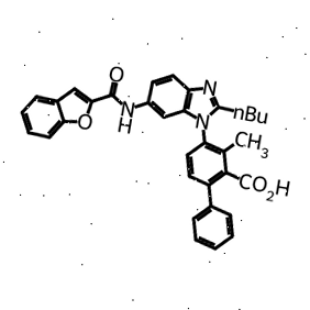 CCCCc1nc2ccc(NC(=O)c3cc4ccccc4o3)cc2n1-c1ccc(-c2ccccc2)c(C(=O)O)c1C